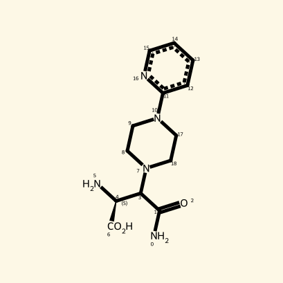 NC(=O)C([C@H](N)C(=O)O)N1CCN(c2ccccn2)CC1